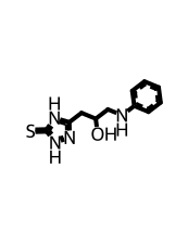 OC(CNc1ccccc1)Cc1n[nH]c(=S)[nH]1